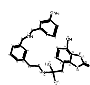 COc1cccc(CNCc2cccc(CCNC(O)(O)Cc3ccc(O)c4[nH]c(=O)sc34)c2)c1